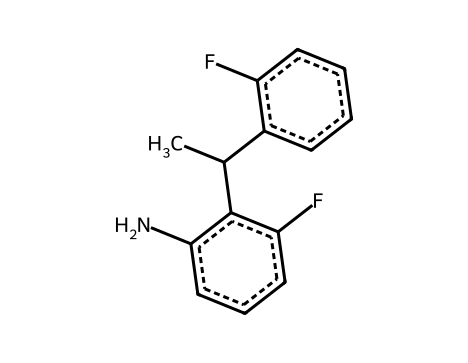 CC(c1ccccc1F)c1c(N)cccc1F